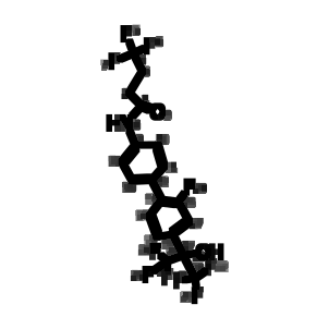 O=C(CCC(F)(F)F)Nc1ccc(-c2ccc(C(O)(C(F)(F)F)C(F)(F)F)cc2F)cc1